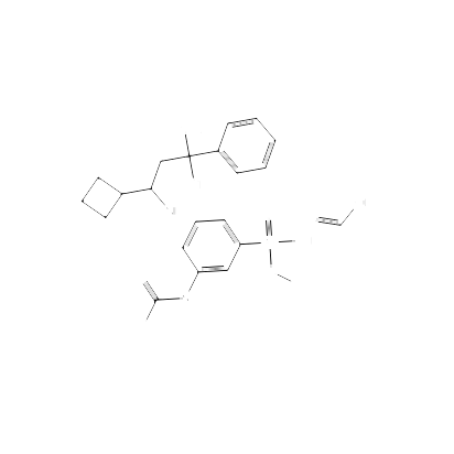 CC(=O)Nc1cccc([As](=O)(O)OO)c1.CC(C)(CC(N)C1CCC1)c1ccccc1.O=CO